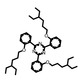 CCC(CC)CCCOc1ccccc1-c1nc(-c2ccccc2OCCCC(CC)CC)nc(-c2ccccc2OCCCC(CC)CC)n1